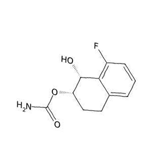 NC(=O)O[C@H]1CCc2cccc(F)c2[C@H]1O